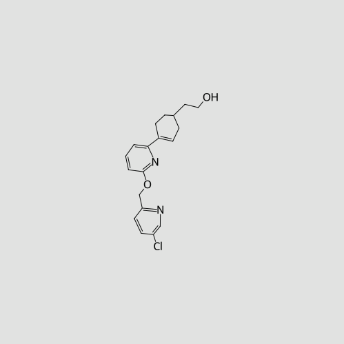 OCCC1CC=C(c2cccc(OCc3ccc(Cl)cn3)n2)CC1